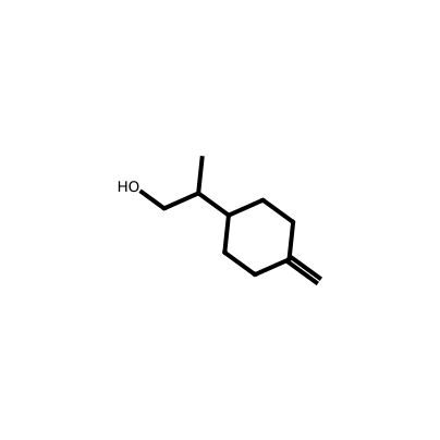 C=C1CCC(C(C)CO)CC1